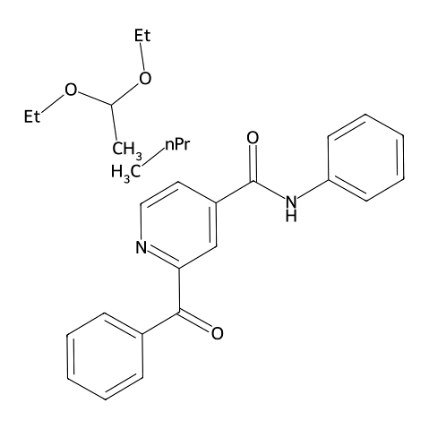 CCCC.CCOC(C)OCC.O=C(Nc1ccccc1)c1ccnc(C(=O)c2ccccc2)c1